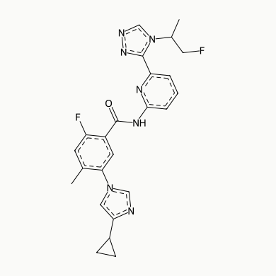 Cc1cc(F)c(C(=O)Nc2cccc(-c3nncn3C(C)CF)n2)cc1-n1cnc(C2CC2)c1